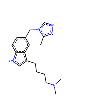 Cc1nncn1Cc1ccc2[nH]cc(CCCCN(C)C)c2c1